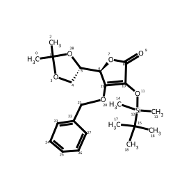 CC1(C)OC[C@@H]([C@H]2OC(=O)C(O[Si](C)(C)C(C)(C)C)=C2OCc2ccccc2)O1